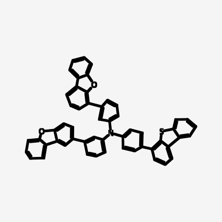 c1cc(-c2ccc3oc4ccccc4c3c2)cc(N(c2ccc(-c3cccc4c3sc3ccccc34)cc2)c2cccc(-c3cccc4c3oc3ccccc34)c2)c1